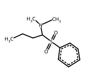 CCCC(N(C)C)S(=O)(=O)c1ccccc1